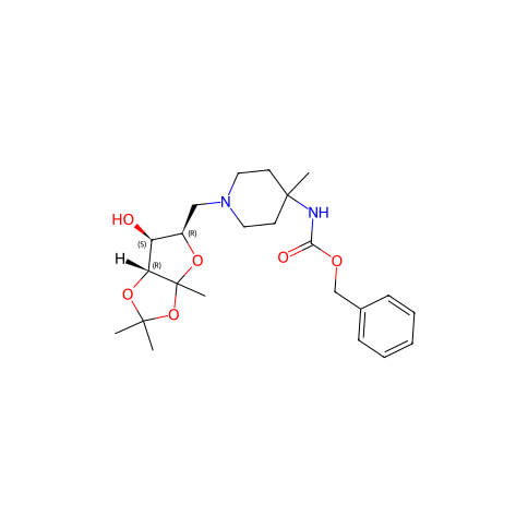 CC1(NC(=O)OCc2ccccc2)CCN(C[C@H]2OC3(C)OC(C)(C)O[C@@H]3[C@H]2O)CC1